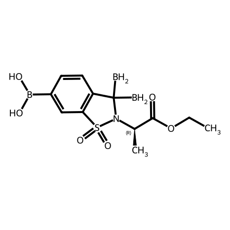 BC1(B)c2ccc(B(O)O)cc2S(=O)(=O)N1[C@H](C)C(=O)OCC